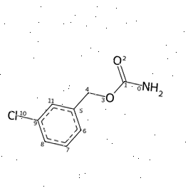 NC(=O)OCc1cccc(Cl)c1